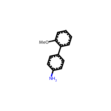 COc1c[c]ccc1-c1ccc(N)cc1